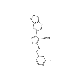 N#Cc1c(-c2ccc3c(c2)OCO3)csc1OCc1ccnc(F)c1